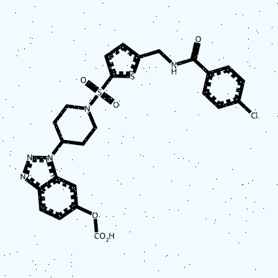 O=C(O)Oc1ccc2nnn(C3CCN(S(=O)(=O)c4ccc(CNC(=O)c5ccc(Cl)cc5)s4)CC3)c2c1